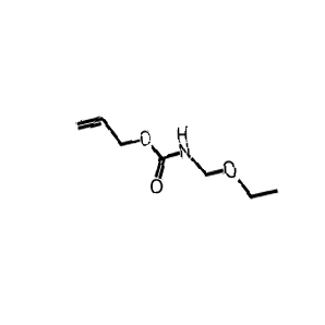 C=CCOC(=O)NCOCC